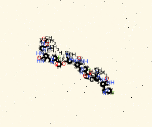 C[C@@H](OC1CCOC(c2c(F)ccn3c(-c4ccc(Nc5ccc(N6CCOC(C)(C)C6=O)c(CN(C)C)n5)c5c4CNC5=O)cnc23)C1)c1ccc(Nc2ccc(-c3cnc4c(C5OCCN(C(C)(C)c6ccc(Nc7ccc(-c8cnc9cc(F)ccn89)c8c7C(=O)NC8)nc6CN(C)C)C5=O)c(F)ccn34)c3c2C(=O)NC3)nc1CN(C)C